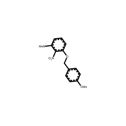 CNc1cccc(OCc2ccc(OC)cc2)c1[N+](=O)[O-]